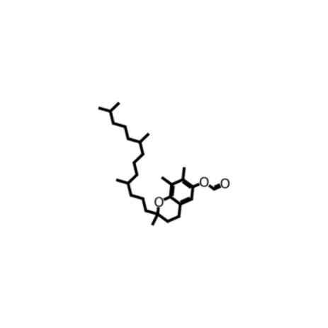 Cc1c(OC=O)cc2c(c1C)OC(C)(CCCC(C)CCCC(C)CCCC(C)C)CC2